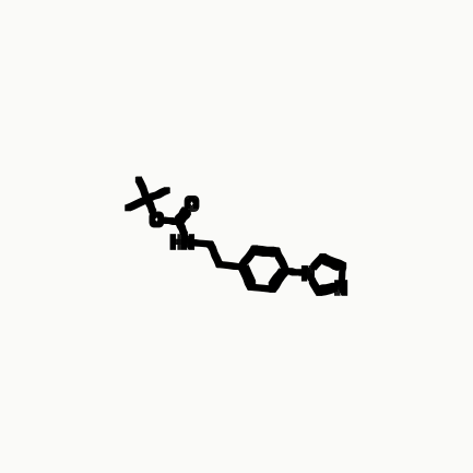 CC(C)(C)OC(=O)NCCc1ccc(-n2ccnc2)cc1